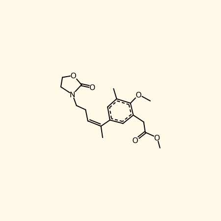 COC(=O)Cc1cc(/C(C)=C\CCN2CCOC2=O)cc(C)c1OC